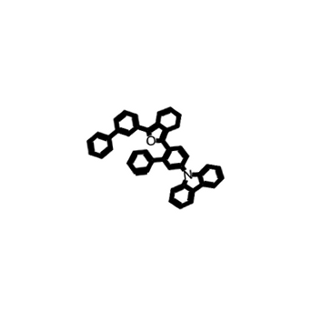 c1cccc(-c2cc(-n3c4ccccc4c4ccccc43)ccc2-c2oc(-c3cccc(-c4ccccc4)c3)c3c2CCC=C3)c#1